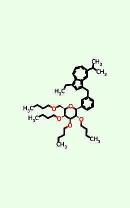 CCCCOC[C@H]1O[C@@H](c2cccc(Cc3cc(CC)c4cccc(C(C)C)cc3-4)c2)[C@H](OCCCC)[C@@H](OCCCC)[C@@H]1OCCCC